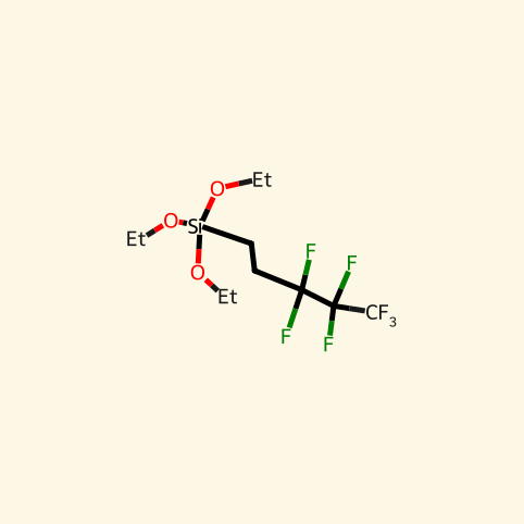 CCO[Si](CCC(F)(F)C(F)(F)C(F)(F)F)(OCC)OCC